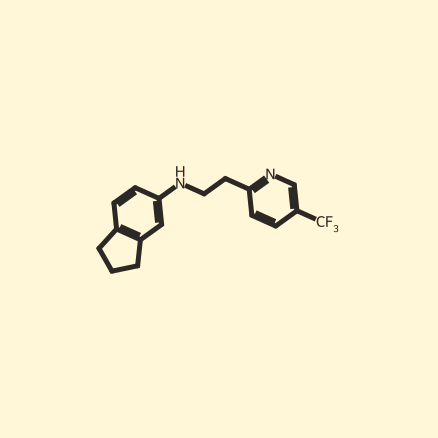 FC(F)(F)c1ccc(CCNc2ccc3c(c2)CCC3)nc1